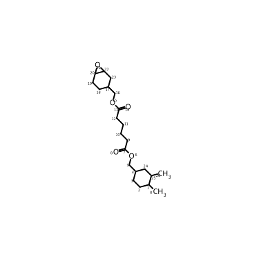 CC1CCC(COC(=O)CCCCC(=O)OCC2CCC3OC3C2)CC1C